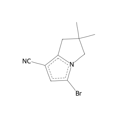 CC1(C)Cc2c(C#N)cc(Br)n2C1